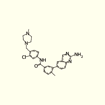 Cc1ccc(C(=O)Nc2ccc(CN3CCN(C)CC3)c(Cl)c2)cc1-c1ccc2nc(N)ncc2c1